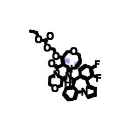 CCOC(=O)OCO/C1=C2\C(=O)N3CCOC[C@H]3N([C@@H]3c4ccccc4-n4cccc4-c4c3ccc(F)c4F)N2/C=C\COC1